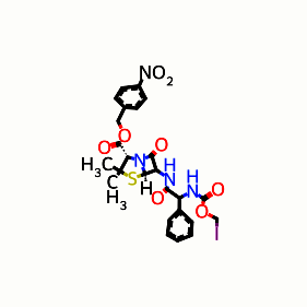 CC1(C)S[C@@H]2C(NC(=O)C(NC(=O)OCI)c3ccccc3)C(=O)N2[C@H]1C(=O)OCc1ccc([N+](=O)[O-])cc1